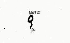 CNc1ccc(CCC(C)C)cc1